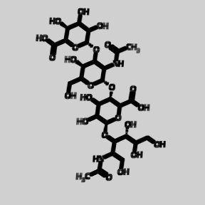 CC(=O)NC(CO)C(O[C@@H]1OC(C(=O)O)[C@@H](O[C@@H]2OC(CO)[C@@H](O)C(O[C@@H]3OC(C(=O)O)[C@@H](O)C(O)C3O)C2NC(C)=O)C(O)C1O)[C@H](O)C(O)CO